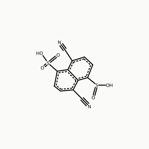 N#Cc1ccc(S(=O)(=O)O)c2c(C#N)ccc(S(=O)O)c12